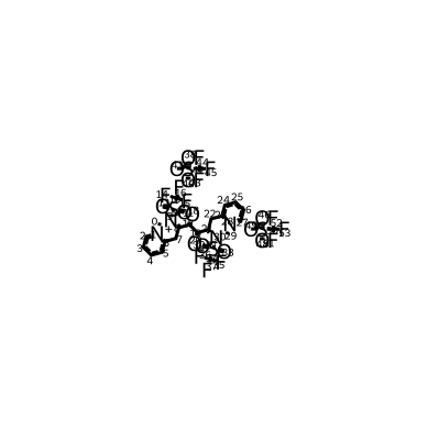 C[n+]1ccccc1CC(=NS(=O)(=O)C(F)(F)F)C(=O)C(=O)C(Cc1cccc[n+]1C)=NS(=O)(=O)C(F)(F)F.O=S(=O)([O-])C(F)(F)F.O=S(=O)([O-])C(F)(F)F